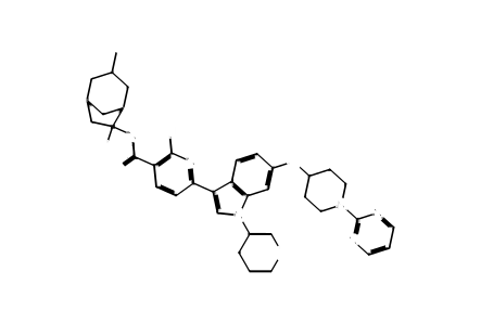 CC1CC2CC(C1)C(NC(=O)c1ccc(-c3cn(C4CCCOC4)c4cc(OC5CCN(c6ncccn6)CC5)ccc34)nc1C(F)(F)F)(C(=O)O)C2